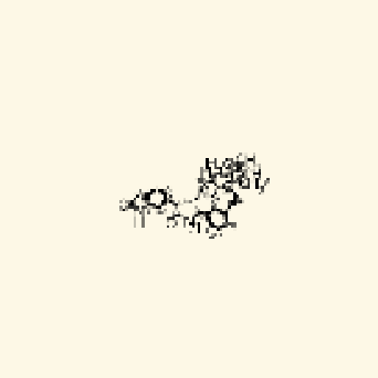 CN(C(=O)Cc1ccc2c(c1)NC(=O)C2)[C@H](CN1CC[C@H](O[Si](C)(C)C(C)(C)C)C1)c1cccc(C#N)c1